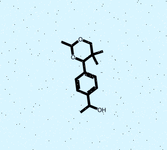 CC1OCC(C)(C)C(c2ccc(C(C)O)cc2)O1